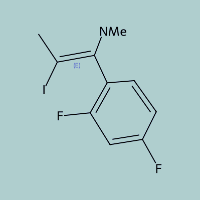 CN/C(=C(\C)I)c1ccc(F)cc1F